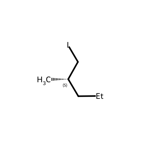 CCC[C@H](C)CI